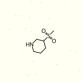 CS(=O)(=O)[C]1CCCNC1